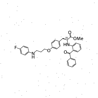 COC(=O)[C@H](Cc1ccc(OCCCNc2ccc(F)cc2)cc1)Nc1ccccc1C(=O)c1ccccc1